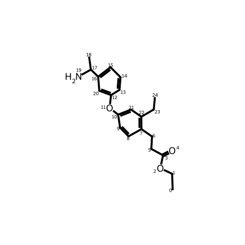 CCOC(=O)CCc1ccc(Oc2cccc(C(C)N)c2)cc1CC